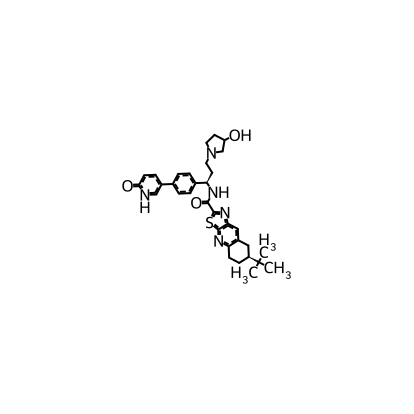 CC(C)(C)[C@H]1CCc2nc3sc(C(=O)N[C@H](CCN4CCC(O)C4)c4ccc(-c5ccc(=O)[nH]c5)cc4)nc3cc2C1